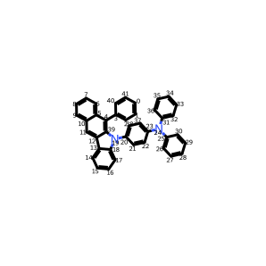 c1ccc(-c2c3ccccc3cc3c4ccccc4n(-c4ccc(N(c5ccccc5)c5ccccc5)cc4)c23)cc1